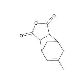 CC1=CC2CC(C1)C1C(=O)OC(=O)C21